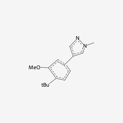 COc1cc(-c2cnn(C)c2)ccc1C(C)(C)C